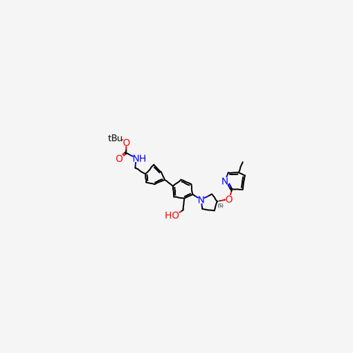 Cc1ccc(O[C@H]2CCN(c3ccc(-c4ccc(CNC(=O)OC(C)(C)C)cc4)cc3CO)C2)nc1